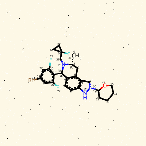 C[C@@H]1Cc2c(ccc3c2CN(C2CCCCO2)N3)[C@@H](c2c(F)cc(Br)cc2F)N1CC1(F)CC1